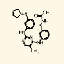 CC(=O)NCc1cccc(Nc2nc(Nc3cccc(SN4CCCC4)c3)ncc2C)c1